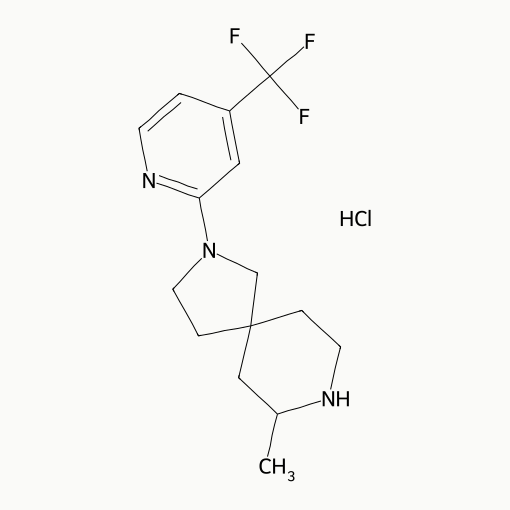 CC1CC2(CCN1)CCN(c1cc(C(F)(F)F)ccn1)C2.Cl